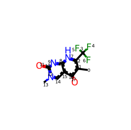 Cc1c(C(F)(F)F)[nH]c2nc(=O)n(C)cc2c1=O